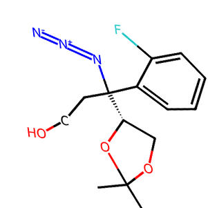 CC1(C)OC[C@@H](C(CCO)(N=[N+]=[N-])c2ccccc2F)O1